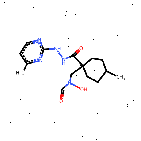 Cc1ccnc(NNC(=O)C2(CN(O)C=O)CCC(C)CC2)n1